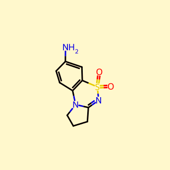 Nc1ccc2c(c1)S(=O)(=O)N=C1CCCN12